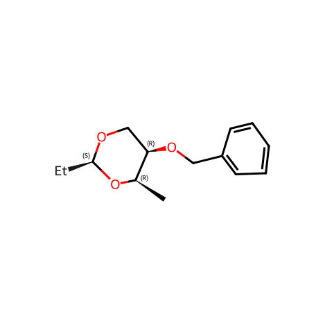 CC[C@H]1OC[C@@H](OCc2ccccc2)[C@@H](C)O1